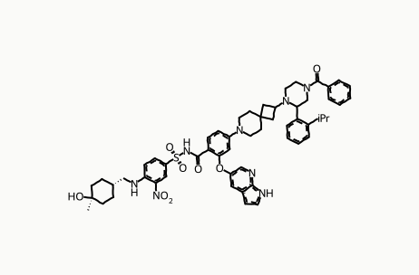 CC(C)c1ccccc1C1CN(C(=O)c2ccccc2)CCN1C1CC2(CCN(c3ccc(C(=O)NS(=O)(=O)c4ccc(NC[C@H]5CC[C@](C)(O)CC5)c([N+](=O)[O-])c4)c(Oc4cnc5[nH]ccc5c4)c3)CC2)C1